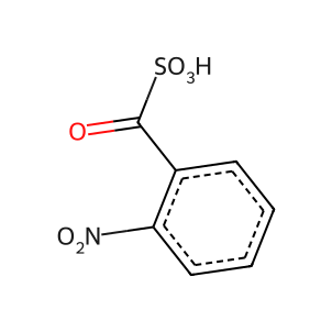 O=C(c1ccccc1[N+](=O)[O-])S(=O)(=O)O